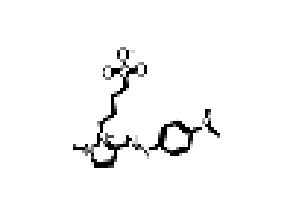 CN(C)c1ccc(/N=N/c2ccn(C)[n+]2CCCCS(=O)(=O)[O-])cc1